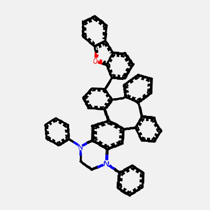 c1ccc(N2CCN(c3ccccc3)c3cc4c(cc32)-c2ccccc2-c2ccccc2-c2c-4cccc2-c2cccc3c2oc2ccccc23)cc1